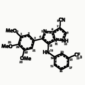 COc1cc(-c2nc3c(C#N)c[nH]n3c2Nc2cccc(C(F)(F)F)c2)cc(OC)c1OC